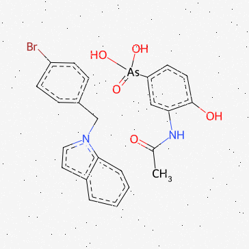 Brc1ccc(Cn2ccc3ccccc32)cc1.CC(=O)Nc1cc([As](=O)(O)O)ccc1O